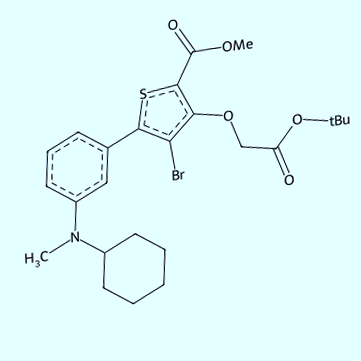 COC(=O)c1sc(-c2cccc(N(C)C3CCCCC3)c2)c(Br)c1OCC(=O)OC(C)(C)C